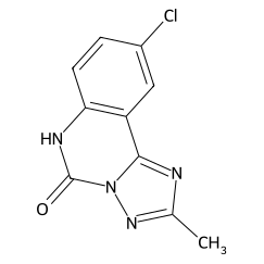 Cc1nc2c3cc(Cl)ccc3[nH]c(=O)n2n1